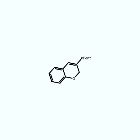 CCCCCC1=Cc2ccccc2OC1